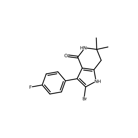 CC1(C)Cc2[nH]c(Br)c(-c3ccc(F)cc3)c2C(=O)N1